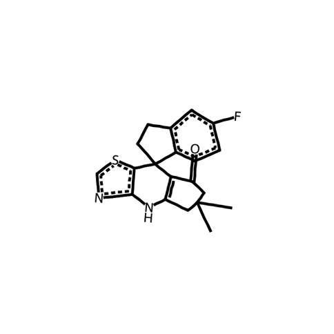 CC1(C)CC(=O)C2=C(C1)Nc1ncsc1C21CCc2cc(F)ccc21